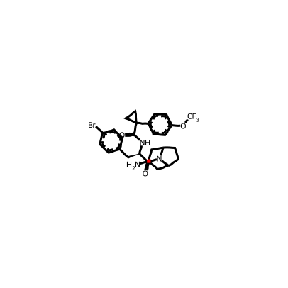 NC1CC2CCC(C1)N2C(=O)[C@@H](Cc1ccc(Br)cc1)NC(=O)C1(c2ccc(OC(F)(F)F)cc2)CC1